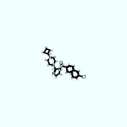 O=[Si](c1ccc2cc(Cl)ccc2c1)N1CCN=C1N1CCN(C2CCC2)CC1